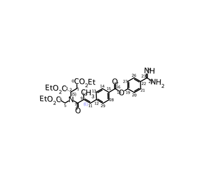 CCOC(=O)C[C@@H](C(=O)OCC)N(CC(=O)OCC)C(=O)/C(C)=C/c1ccc(C(=O)Oc2ccc(C(=N)N)cc2)cc1